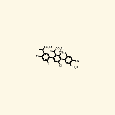 CCOC(=O)C(C)c1cc(-c2[c]c(Cl)c(-c3cc(C(=O)O)c(C#N)cc3Cl)c(C#N)c2C(C)C(=O)OCC)c(F)cc1Cl